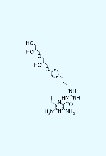 N=C(NCCCCc1ccc(OCC(O)COCC(O)CO)cc1)NC(=O)c1nc(CI)c(N)nc1N